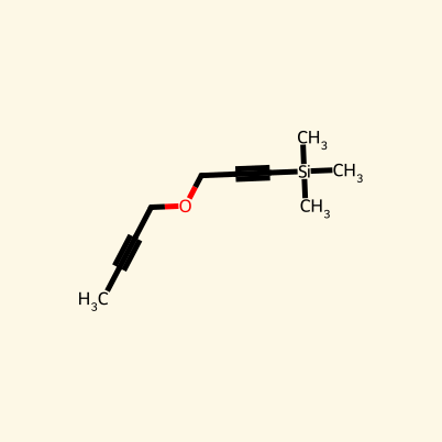 CC#CCOCC#C[Si](C)(C)C